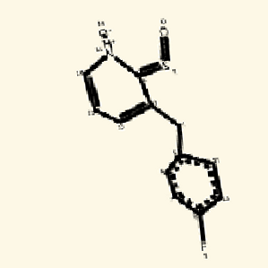 O=S=C1C(Cc2ccc(F)cc2)=CC=C[NH+]1[O-]